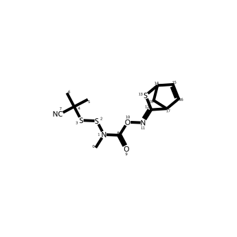 CN(SSC(C)(C)C#N)C(=O)ON=C1SC2C=CC1C2